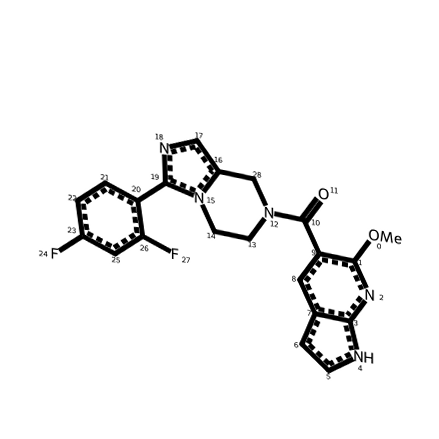 COc1nc2[nH]ccc2cc1C(=O)N1CCn2c(cnc2-c2ccc(F)cc2F)C1